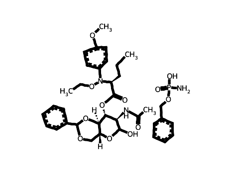 CCC[C@@H](C(=O)O[C@H]1[C@@H]2OC(c3ccccc3)OC[C@H]2OC(O)[C@@H]1NC(C)=O)N(OCC)c1ccc(OC)cc1.NP(=O)(O)OCc1ccccc1